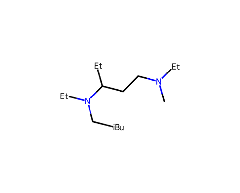 CCC(C)CN(CC)C(CC)CCN(C)CC